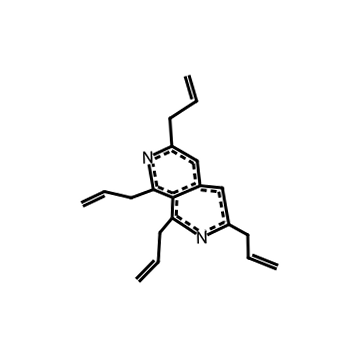 C=CCc1cc2cc(CC=C)nc(CC=C)c2c(CC=C)n1